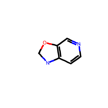 c1cc2c(cn1)OC[N]2